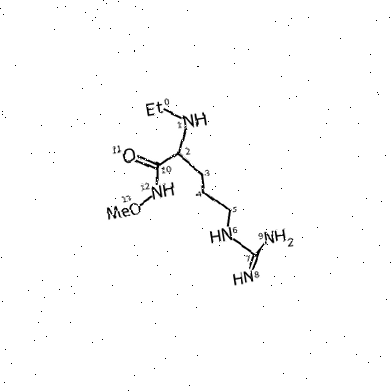 CCNC(CCCNC(=N)N)C(=O)NOC